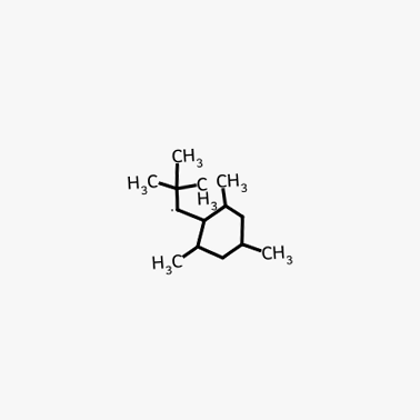 CC1CC(C)C([CH]C(C)(C)C)C(C)C1